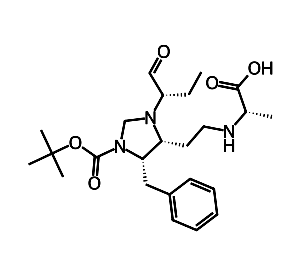 CC[C@@H](C=O)N1CN(C(=O)OC(C)(C)C)[C@@H](Cc2ccccc2)[C@H]1CCN[C@@H](C)C(=O)O